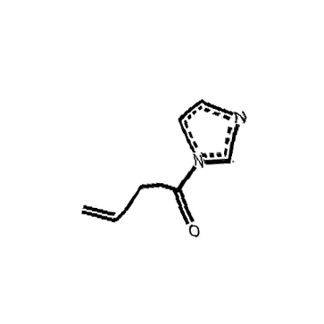 C=CCC(=O)n1[c]ncc1